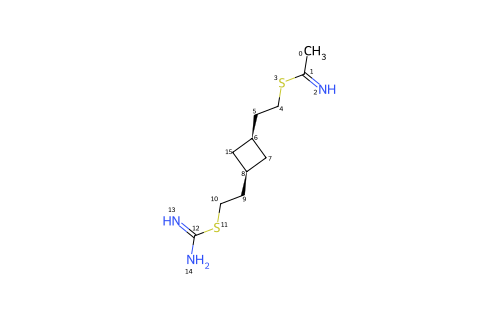 CC(=N)SCC[C@H]1C[C@@H](CCSC(=N)N)C1